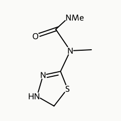 CNC(=O)N(C)C1=NNCS1